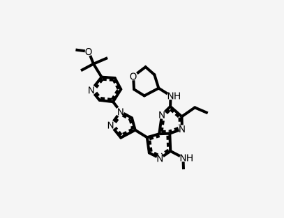 CCc1nc2c(NC)ncc(-c3cnn(-c4ccc(C(C)(C)OC)nc4)c3)c2nc1NC1CCOCC1